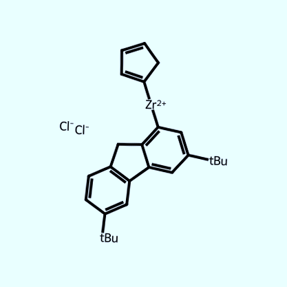 CC(C)(C)c1ccc2c(c1)-c1cc(C(C)(C)C)c[c]([Zr+2][C]3=CC=CC3)c1C2.[Cl-].[Cl-]